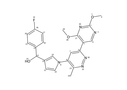 COc1ncc(-c2cc(-n3ccc(C(O)c4ccc(F)cc4)c3)c(C)nn2)c(OC)n1